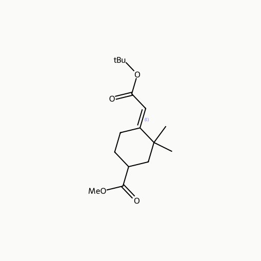 COC(=O)C1CC/C(=C\C(=O)OC(C)(C)C)C(C)(C)C1